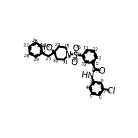 O=C(Nc1cccc(Cl)c1)c1cccc(S(=O)(=O)N2CCC(O)(Cc3ccccc3)CC2)c1